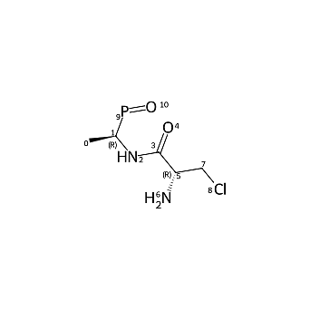 C[C@H](NC(=O)[C@@H](N)CCl)P=O